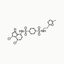 Cc1ccc(CCNS(=O)(=O)c2ccc(S(=O)(=O)Nc3ccc(Cl)c4c(Cl)c[nH]c34)cc2)o1